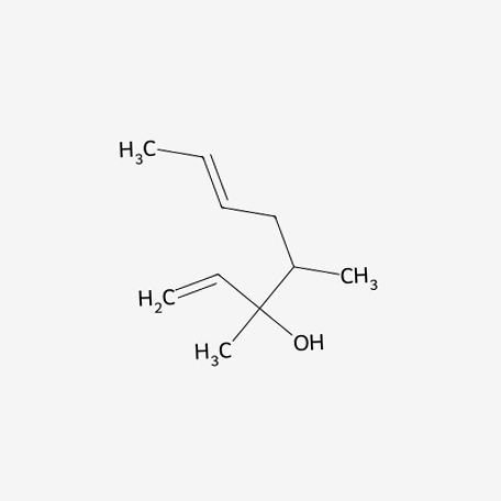 C=CC(C)(O)C(C)C/C=C/C